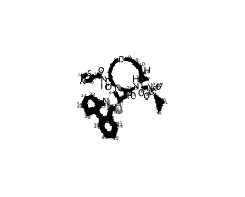 O=C(N[C@H]1CCCCCC=C[C@@H]2C[C@@]2(C(=O)NS(=O)(=O)C2CC2)NC(=O)[C@@H]2C[C@@H](Oc3nc4ccccc4c4ccccc34)CN2C1=O)c1cncs1